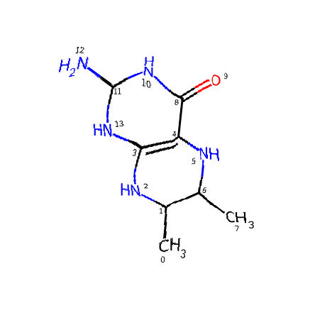 CC1NC2=C(NC1C)C(=O)NC(N)N2